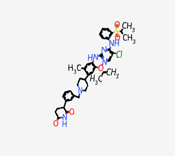 Cc1cc(Nc2ncc(Cl)c(Nc3ccccc3S(=O)(=O)C(C)C)n2)c(OC(C)C)cc1C1CCN(Cc2cccc(C3CCC(=O)NC3=O)c2)CC1